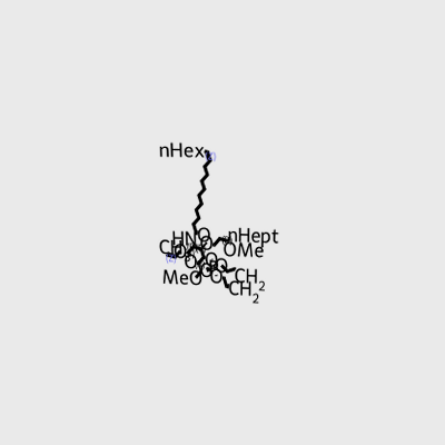 C=CCOP(=O)(OCC=C)OC1[C@@H](COC)O[C@H](O/C=C\C)[C@H](NC(=O)CCCCCCCCC/C=C\CCCCCC)[C@H]1OCC[C@@H](CCCCCCC)OC